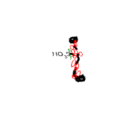 O=C(CC(OC(=O)C(F)(F)S(=O)(=O)O)C(=O)OCC(=O)OC12CC3CC(CC(C3)C1)C2)OCC(=O)OC12CC3CC(CC(C3)C1)C2